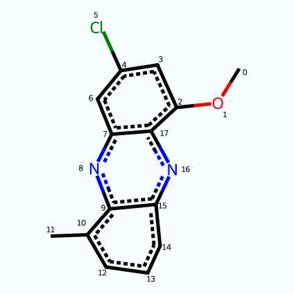 COc1cc(Cl)cc2nc3c(C)cccc3nc12